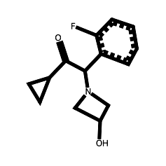 O=C(C1CC1)C(c1ccccc1F)N1CC(O)C1